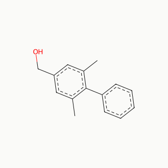 Cc1cc(CO)cc(C)c1-c1ccccc1